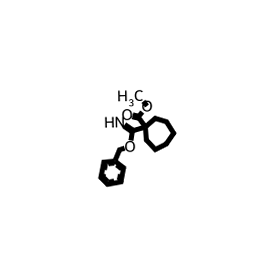 COC(=O)C1(C(=N)OCc2ccccc2)CCCCCC1